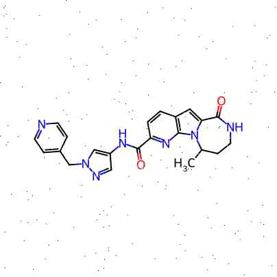 CC1CCNC(=O)c2cc3ccc(C(=O)Nc4cnn(Cc5ccncc5)c4)nc3n21